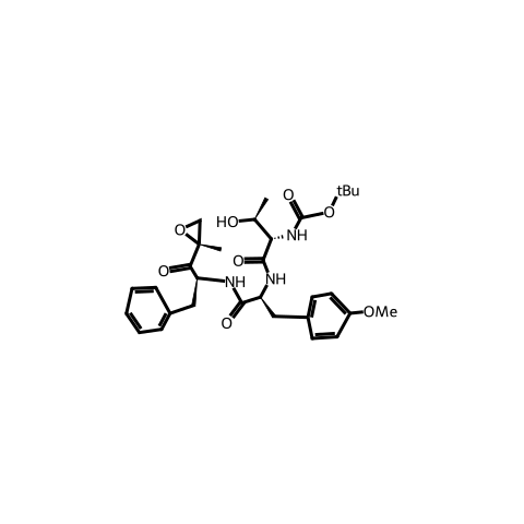 COc1ccc(C[C@H](NC(=O)[C@@H](NC(=O)OC(C)(C)C)[C@H](C)O)C(=O)N[C@@H](Cc2ccccc2)C(=O)[C@@]2(C)CO2)cc1